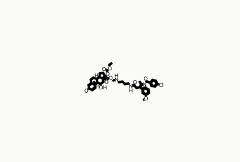 CCOC(=O)OC1(C(=O)OCNCCCCNC(=O)Cc2c(C)n(C(=O)c3ccc(Cl)cc3)c3ccc(OC)cc23)CC[C@@H]2C3CCC4=CC(=O)C=CC4(C)[C@@H]3C(O)CC21C